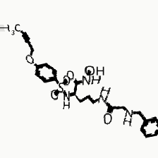 CC#CCOc1ccc(S(=O)(=O)N[C@H](CCCNC(=O)CNCc2ccccc2)C(=O)NO)cc1